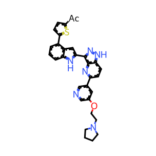 CC(=O)c1ccc(-c2cccc3[nH]c(-c4n[nH]c5ccc(-c6cncc(OCCN7CCCC7)c6)nc45)cc23)s1